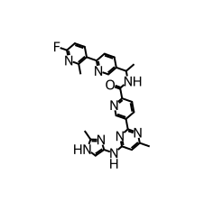 Cc1cc(Nc2c[nH]c(C)n2)nc(-c2ccc(C(=O)NC(C)c3ccc(-c4ccc(F)nc4C)nc3)nc2)n1